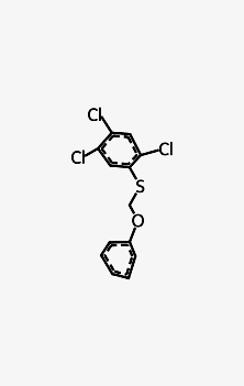 Clc1cc(Cl)c(SCOc2ccccc2)cc1Cl